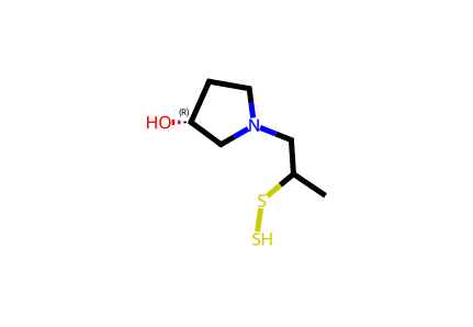 CC(CN1CC[C@@H](O)C1)SS